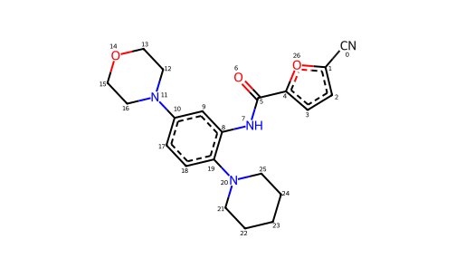 N#Cc1ccc(C(=O)Nc2cc(N3CCOCC3)ccc2N2CCCCC2)o1